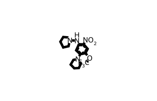 O=[N+]([O-])c1cc(OC(F)(F)F)c(N2CCCCC2)cc1NN1CCCCC1